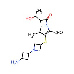 CC(O)C1C(=O)N2C(C=O)=C(SC3CN(C4CC(N)C4)C3)C(C)C12